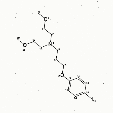 COCCN(CCCOc1ccc(I)cc1)CCOC